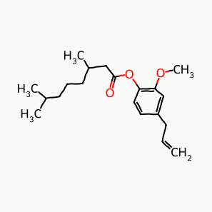 C=CCc1ccc(OC(=O)CC(C)CCCC(C)C)c(OC)c1